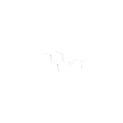 Cc1cc(S(=O)(=O)O)cnc1/N=C/N(C)C